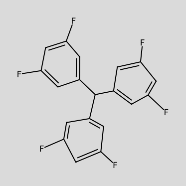 Fc1cc(F)cc([C](c2cc(F)cc(F)c2)c2cc(F)cc(F)c2)c1